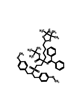 COc1ccc(CN(Cc2ccc(OC)cc2)S(=O)(=O)CCC(CCCCB2OC(C)(C)C(C)(C)O2)(N=C(c2ccccc2)c2ccccc2)C(=O)OC(C)(C)C)cc1